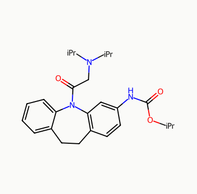 CC(C)OC(=O)Nc1ccc2c(c1)N(C(=O)CN(C(C)C)C(C)C)c1ccccc1CC2